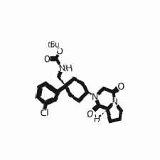 CC(C)(C)OC(=O)NC[C@]1(c2cccc(Cl)c2)CC[C@@H](N2CC(=O)N3CCC[C@H]3C2=O)CC1